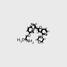 C[C@H](N)COc1ccc2ncc(-c3cc4c(N5CCOCC5)nccc4o3)n2n1